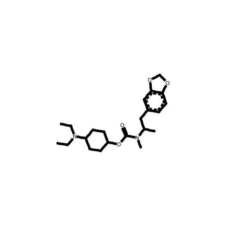 CCN(CC)C1CCC(OC(=O)N(C)C(C)Cc2ccc3c(c2)OCO3)CC1